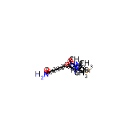 COc1cc2c(N[C@H](C)c3cccc(Br)c3)nc(C)nc2cc1OCCCCCCCCCC(N)=O